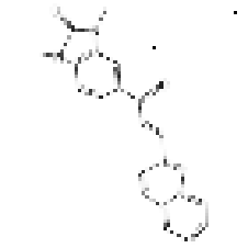 Cn1c(=O)n(C)c2cc(C(=O)/C=C/c3ccc4ccccc4c3)ccc21